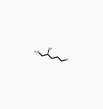 NC[C@@H](O)CCCCl